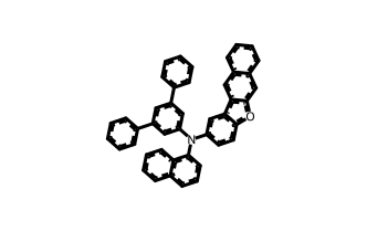 c1ccc(-c2cc(-c3ccccc3)cc(N(c3ccc4oc5cc6ccccc6cc5c4c3)c3cccc4ccccc34)c2)cc1